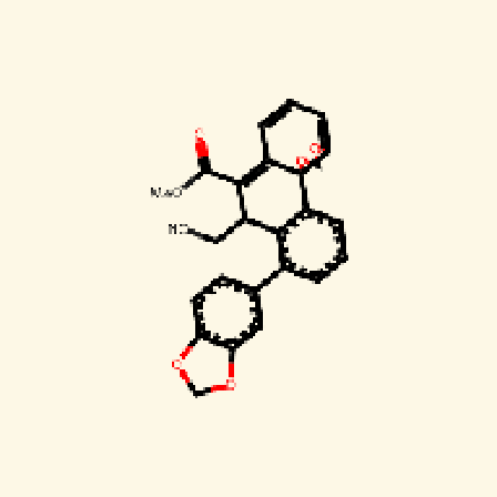 COC(=O)C1=C2C=CC=C3OCOC32c2cccc(-c3ccc4c(c3)OCO4)c2C1CC#N